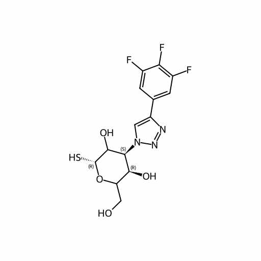 OCC1O[C@H](S)C(O)[C@@H](n2cc(-c3cc(F)c(F)c(F)c3)nn2)[C@H]1O